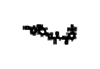 O=C(CNC(=O)c1cccc(C(F)(F)F)c1)NC1CN([C@H]2CC[C@@](O)(c3cnc(O)s3)CC2)C1